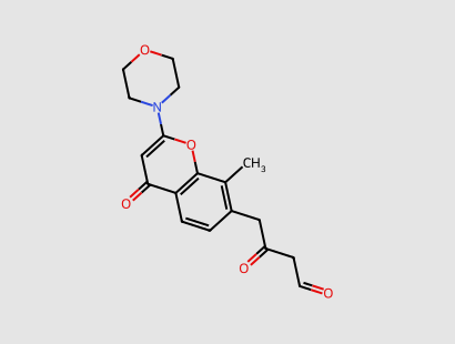 Cc1c(CC(=O)CC=O)ccc2c(=O)cc(N3CCOCC3)oc12